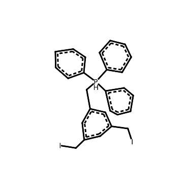 ICc1cc(CI)cc(C[PH](c2ccccc2)(c2ccccc2)c2ccccc2)c1